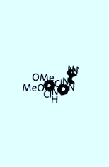 COc1cc(OC)c(Cl)c(Nc2ccc3ncc(-c4cnn(C)c4)nc3c2)c1Cl